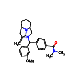 C=CCN1C2CCCC1CN(C(c1ccc(C(=O)N(C)C)cc1)c1cccc(OC)c1)CC2